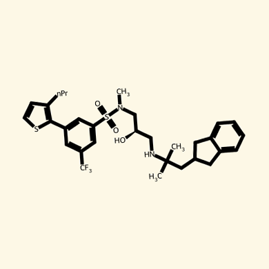 CCCc1ccsc1-c1cc(C(F)(F)F)cc(S(=O)(=O)N(C)C[C@H](O)CNC(C)(C)CC2Cc3ccccc3C2)c1